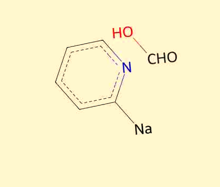 O=CO.[Na][c]1ccccn1